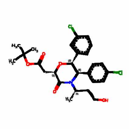 C[C@@H](CCO)N1C(=O)[C@H](CC(=O)OC(C)(C)C)O[C@H](c2cccc(Cl)c2)[C@H]1c1ccc(Cl)cc1